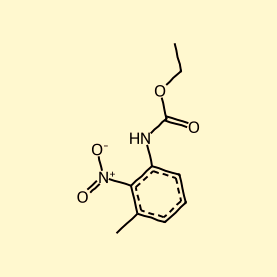 CCOC(=O)Nc1cccc(C)c1[N+](=O)[O-]